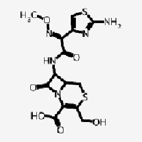 CON=C(C(=O)NC1C(=O)N2C(C(=O)O)=C(CO)SCC12)c1csc(N)n1